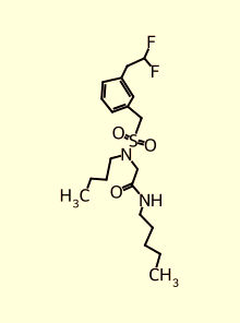 CCCCCNC(=O)CN(CCCC)S(=O)(=O)Cc1cccc(CC(F)F)c1